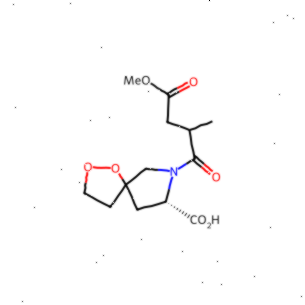 COC(=O)CC(C)C(=O)N1CC2(CCOO2)C[C@H]1C(=O)O